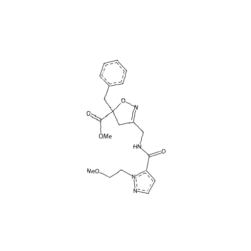 COCCn1nccc1C(=O)NCC1=NOC(Cc2ccccc2)(C(=O)OC)C1